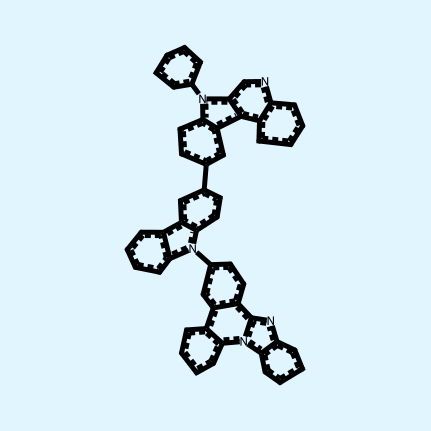 c1ccc(-n2c3ccc(-c4ccc5c(c4)c4ccccc4n5-c4ccc5c(c4)c4ccccc4n4c6ccccc6nc54)cc3c3c4ccccc4ncc32)cc1